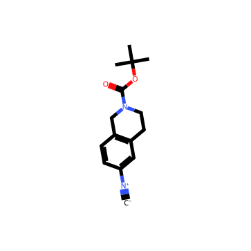 [C-]#[N+]c1ccc2c(c1)CCN(C(=O)OC(C)(C)C)C2